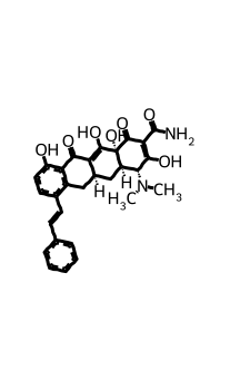 CN(C)[C@H]1C(O)=C(C(N)=O)C(=O)[C@]2(O)C(O)=C3C(=O)c4c(O)ccc(/C=C/c5ccccc5)c4C[C@@H]3C[C@H]12